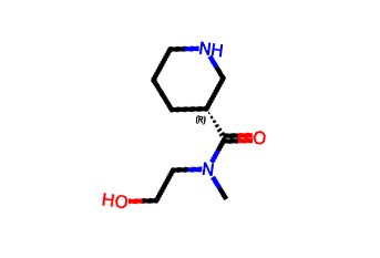 CN(CCO)C(=O)[C@@H]1CCCNC1